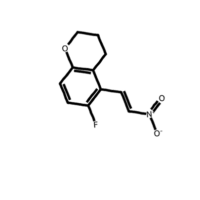 O=[N+]([O-])/C=C/c1c(F)ccc2c1CCCO2